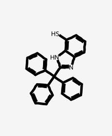 Sc1cccc2nc(C(c3ccccc3)(c3ccccc3)c3ccccc3)[nH]c12